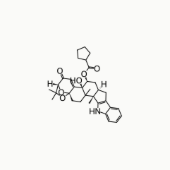 CC1(C)O[C@@]23CCC4(C)[C@@]5(C)c6[nH]c7ccccc7c6C[C@@H]5C[C@H](OC(=O)C5CCCC5)[C@@]4(O)C2=CC(=O)[C@@H]1O3